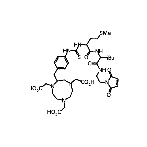 CCC(C)C(NC(=O)C(CCSC)NC(=S)Nc1ccc(CC2CN(CC(=O)O)CCN(CC(=O)O)CCN2CC(=O)O)cc1)C(=O)NCCN1C(=O)C=CC1=O